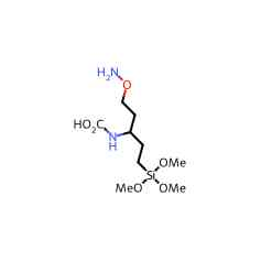 CO[Si](CCC(CCON)NC(=O)O)(OC)OC